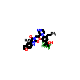 CCCc1cc(C(O)(C(F)(F)F)C(F)(F)F)ccc1N1CCNCC1C(=O)CN1C(=O)NC(C)(c2ccc3occc3c2)C1=O